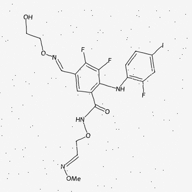 CO/N=C/CONC(=O)c1cc(C=NOCCO)c(F)c(F)c1Nc1ccc(I)cc1F